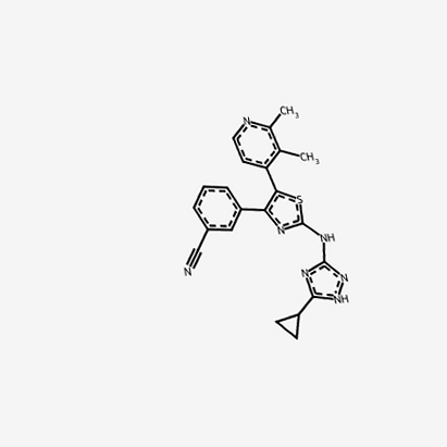 Cc1nccc(-c2sc(Nc3n[nH]c(C4CC4)n3)nc2-c2cccc(C#N)c2)c1C